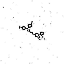 CCC1(c2ccccc2)CCN(CCCCOC(c2ccc(F)cc2)c2ccc(F)cc2)CC1